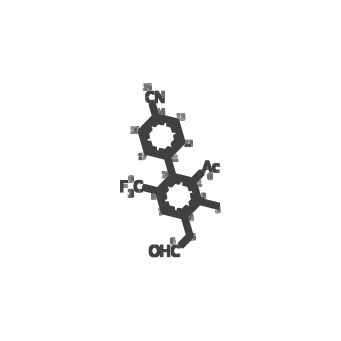 CC(=O)c1c(C)c([CH]C=O)cc(C(F)(F)F)c1-c1ccc(C#N)cc1